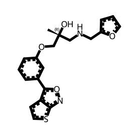 C[C@@](O)(CNCc1ccco1)COc1cccc(-c2onc3sccc23)c1